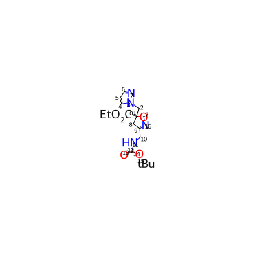 CCOC(=O)C1(Cn2cccn2)CC(CNC(=O)OC(C)(C)C)=NO1